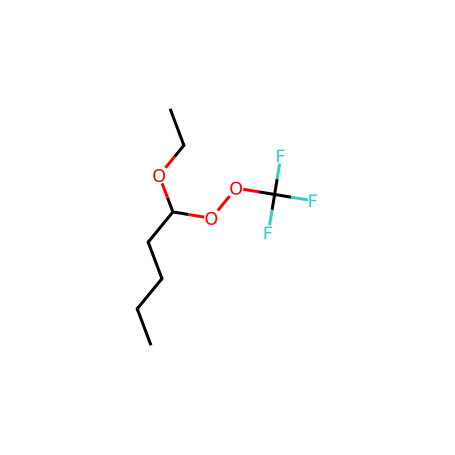 CCCCC(OCC)OOC(F)(F)F